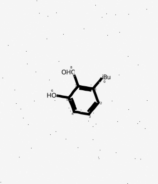 [CH2]CC(C)c1cccc(O)c1C=O